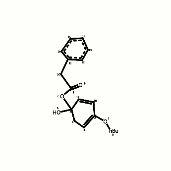 CCCCOC1=CCC(O)(OC(=O)Cc2ccccc2)C=C1